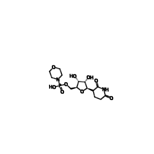 O=C1CCC([C@H]2O[C@@H](COP(=O)(O)N3CCOCC3)[C@H](O)[C@@H]2O)C(=O)N1